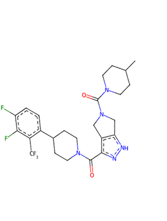 CC1CCN(C(=O)N2Cc3[nH]nc(C(=O)N4CCC(c5ccc(F)c(F)c5C(F)(F)F)CC4)c3C2)CC1